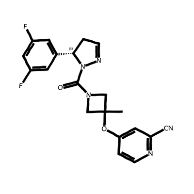 CC1(Oc2ccnc(C#N)c2)CN(C(=O)N2N=CC[C@H]2c2cc(F)cc(F)c2)C1